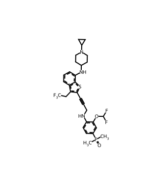 CP(C)(=O)c1ccc(NCC#Cc2sc3c(NC4CCN(C5CC5)CC4)cccc3c2CC(F)(F)F)c(OC(F)F)c1